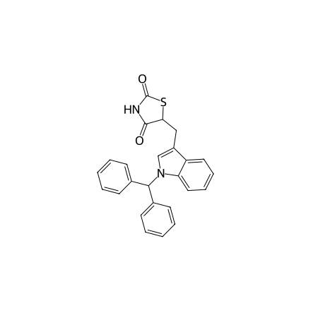 O=C1NC(=O)C(Cc2cn(C(c3ccccc3)c3ccccc3)c3ccccc23)S1